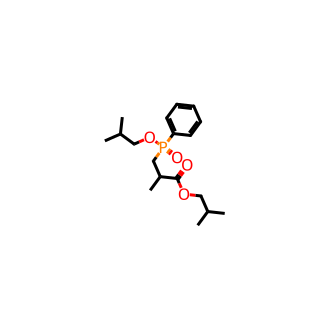 CC(C)COC(=O)C(C)CP(=O)(OCC(C)C)c1ccccc1